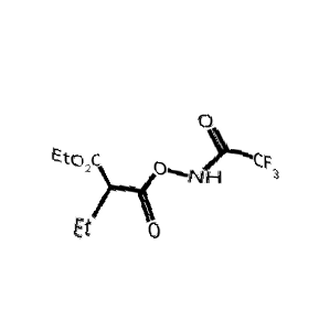 CCOC(=O)C(CC)C(=O)ONC(=O)C(F)(F)F